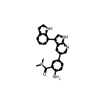 CN(C)C(=O)c1cc(-c2cnc3[nH]cc(-c4cccc5cc[nH]c45)c3c2)ccc1N